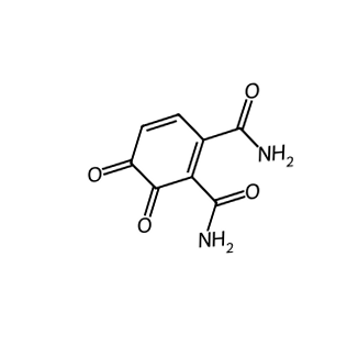 NC(=O)C1=C(C(N)=O)C(=O)C(=O)C=C1